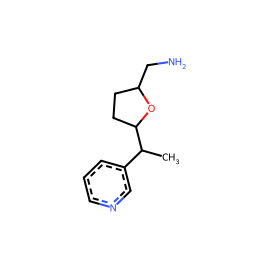 CC(c1cccnc1)C1CCC(CN)O1